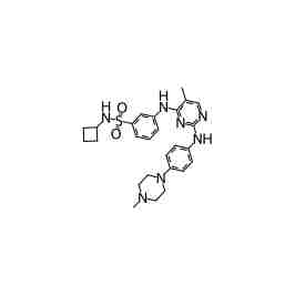 Cc1cnc(Nc2ccc(N3CCN(C)CC3)cc2)nc1Nc1cccc(S(=O)(=O)NC2CCC2)c1